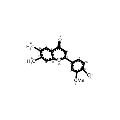 COc1cc(-c2cc(=O)c3cc(C)c(C)cc3o2)ccc1O